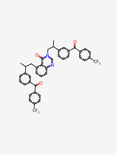 CC(Cc1cccc2ncn(CC(C)c3cccc(C(=O)c4ccc(C(F)(F)F)cc4)c3)c(=O)c12)c1cccc(C(=O)c2ccc(C(F)(F)F)cc2)c1